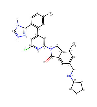 Cn1cnnc1-c1ccc(C(F)(F)F)cc1-c1cc(Cl)nc(N2Cc3c(cc(CNC4CCCC4)cc3C(F)(F)F)C2=O)c1